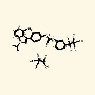 CC(C)n1cc(-c2ccc(NC(=O)Nc3cccc(C(F)(F)C(F)(F)F)c3)cc2)c2c(N)ncnc21.O=C(O)C(F)(F)F